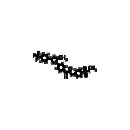 CCS(=O)(=O)c1ccc(CC(=O)Nc2ccc(N3CC(c4ccc(C(F)(F)F)cc4)CC3C)cc2)cc1